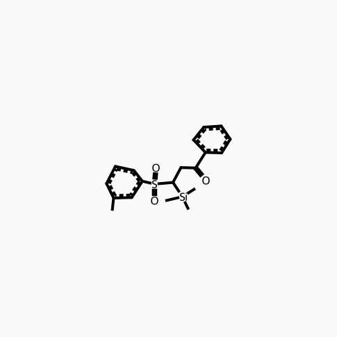 Cc1cccc(S(=O)(=O)C(CC(=O)c2ccccc2)[Si](C)(C)C)c1